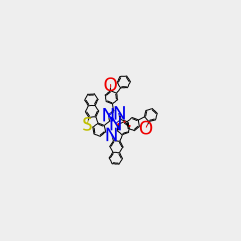 c1ccc2cc3c(cc2c1)sc1ccc(-n2c4ccccc4c4cc5ccccc5cc42)c(-c2nc(-c4ccc5oc6ccccc6c5c4)nc(-c4ccc5oc6ccccc6c5c4)n2)c13